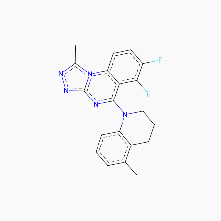 Cc1cccc2c1CCCN2c1nc2nnc(C)n2c2ccc(F)c(F)c12